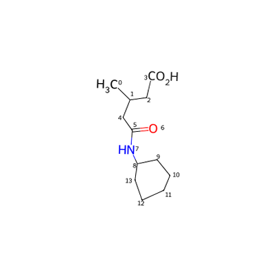 CC(CC(=O)O)CC(=O)NC1CCCCC1